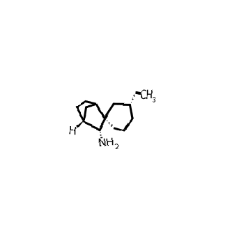 CC[C@@H]1CCC[C@@]2(C1)C1CC[C@H](C1)[C@H]2N